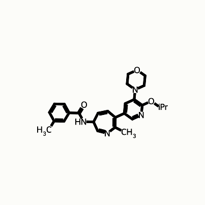 CC1=C(c2cnc(OC(C)C)c(N3CCOCC3)c2)C=CC(NC(=O)c2cccc(C)c2)C=N1